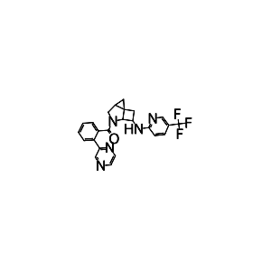 O=C(c1ccccc1-c1cnccn1)N1CC2CC23CC(Nc2ccc(C(F)(F)F)cn2)C13